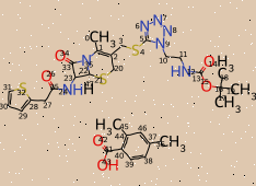 CC1=C(CSc2nnnn2CCNC(=O)OC(C)(C)C)CS[C@H]2C(NC(=O)Cc3cccs3)C(=O)N12.Cc1ccc(C(=O)O)c(C)c1